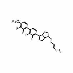 C/C=C/CCC1CCC2C(c3ccc(-c4ccc(OC)c(F)c4F)c(F)c3F)=CCC12